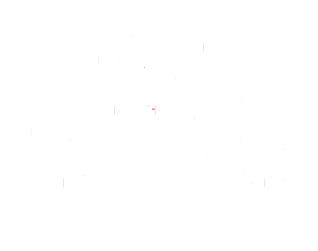 O=C(O)CC(O)(CC(=O)O)C(=O)O.O=C(O)CC(O)(CC(=O)O)C(=O)O.O=C(O)CC(O)(CC(=O)O)C(=O)O.O=C([O-])CC(O)(CC(=O)[O-])C(=O)[O-].[K+].[K+].[K+]